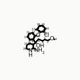 COCCCCC(O)(c1ccccc1Oc1c(C)cccc1Cl)C1[CH]CCNC1N